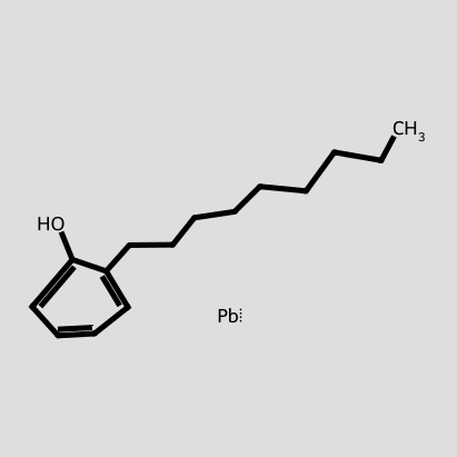 CCCCCCCCCc1ccccc1O.[Pb]